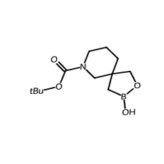 CC(C)(C)OC(=O)N1CCCC2(COB(O)C2)C1